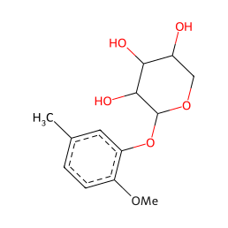 COc1ccc(C)cc1OC1OCC(O)C(O)C1O